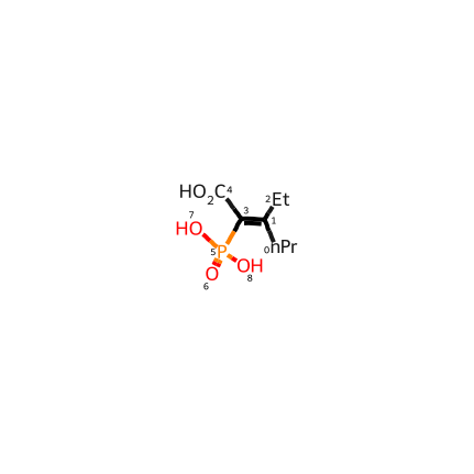 CCCC(CC)=C(C(=O)O)P(=O)(O)O